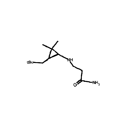 CC(C)(C)CC1C(NCCC(N)=O)C1(C)C